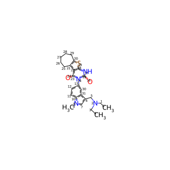 CCN(CC)Cc1cn(C)c2ccc(-n3c(=O)[nH]c4sc5c(c4c3=O)CCCCC5)cc12